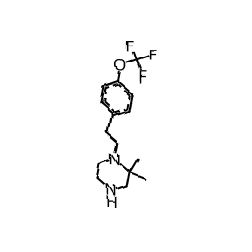 CC1(C)CNCCN1CCc1ccc(OC(F)(F)F)cc1